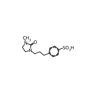 CN1CCN(CCCc2ccc(S(=O)(=O)O)cc2)C1=O